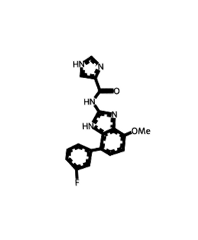 COc1ccc(-c2cccc(F)c2)c2[nH]c(NC(=O)c3c[nH]cn3)nc12